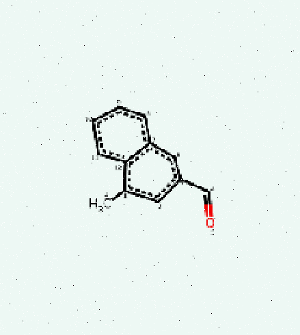 Cc1cc(C=O)cc2ccccc12